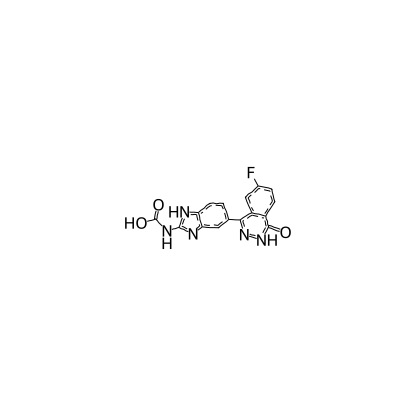 O=C(O)Nc1nc2cc(-c3n[nH]c(=O)c4ccc(F)cc34)ccc2[nH]1